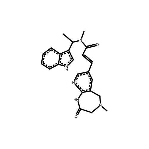 CC(c1c[nH]c2ccccc12)N(C)C(=O)/C=C/c1cnc2c(c1)CN(C)CC(=O)N2